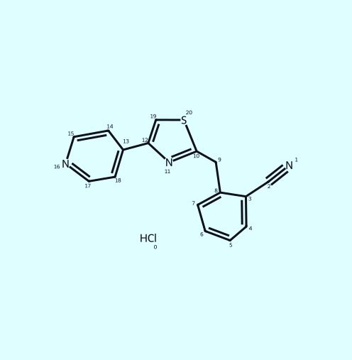 Cl.N#Cc1ccccc1Cc1nc(-c2ccncc2)cs1